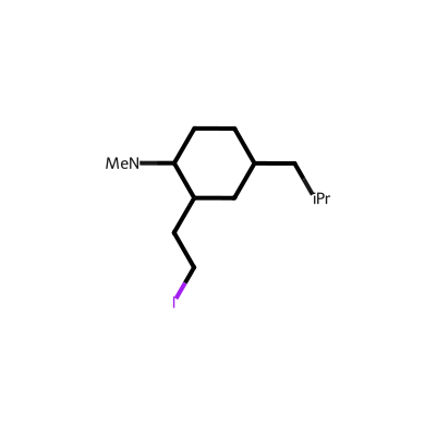 CNC1CCC(CC(C)C)CC1CCI